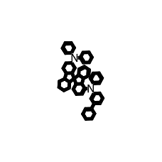 C1=CCC(N(C2=CCCCC2)C2CCC3C4CCCCC4C4(C5C=CC=CC5C5C(N(C6=CC(C7=CCCCC7)=CCC6)c6ccccc6)=CCCC54)C3C2)C=C1